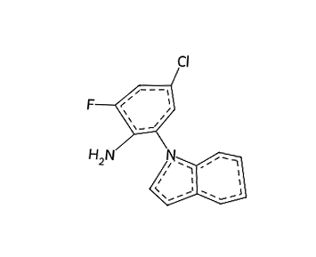 Nc1c(F)cc(Cl)cc1-n1ccc2ccccc21